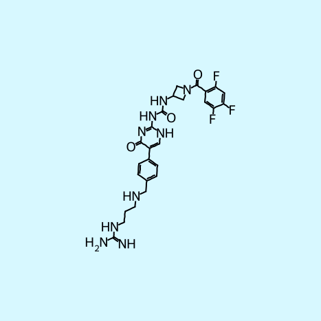 N=C(N)NCCCNCc1ccc(-c2c[nH]c(NC(=O)NC3CN(C(=O)c4cc(F)c(F)cc4F)C3)nc2=O)cc1